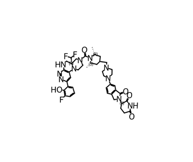 C[C@@H]1CC(CN2CCN(c3ccc4c(c3)C(=O)N([C@@H]3CCC(=O)NC3=O)C4)CC2)C[C@H](C)N1C(=O)N1CCN2c3cc(-c4cccc(F)c4O)nnc3NC[C@]2(C(F)F)C1